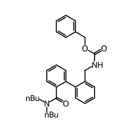 CCCCN(CCCC)C(=O)c1ccccc1-c1ccccc1CNC(=O)OCc1ccccc1